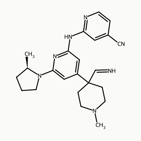 C[C@@H]1CCCN1c1cc(C2(C=N)CCN(C)CC2)cc(Nc2cc(C#N)ccn2)n1